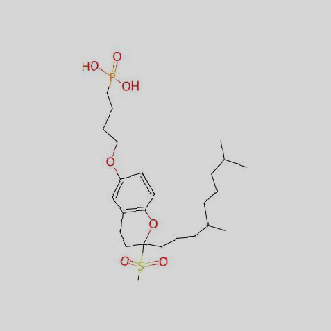 CC(C)CCCC(C)CCCC1(S(C)(=O)=O)CCc2cc(OCCCCP(=O)(O)O)ccc2O1